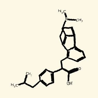 CC(C)Cc1ccc(C(Cc2cccc3c2C2=C(CN(C)C)C3CCC2)C(=O)O)cc1